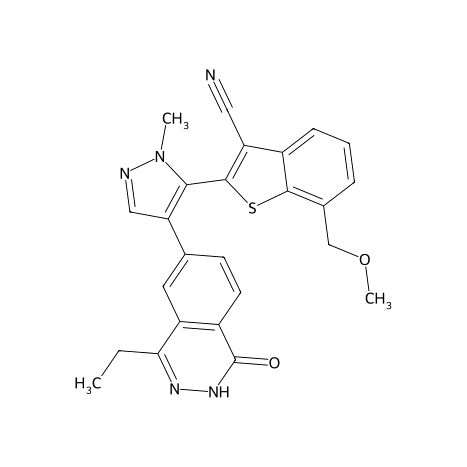 CCc1n[nH]c(=O)c2ccc(-c3cnn(C)c3-c3sc4c(COC)cccc4c3C#N)cc12